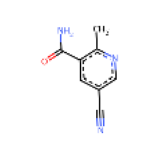 [CH2]c1ncc(C#N)cc1C(N)=O